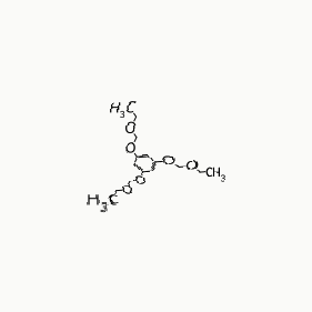 CCOCOc1cc(OCOCC)cc(OCOCC)c1